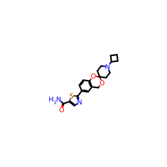 NC(=O)c1cnc(-c2ccc3c(c2)COC2(CCN(C4CCC4)CC2)O3)s1